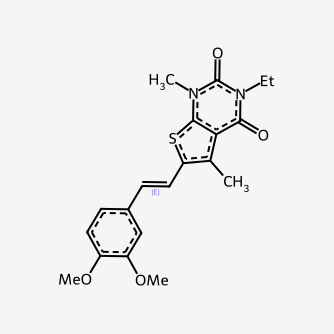 CCn1c(=O)c2c(C)c(/C=C/c3ccc(OC)c(OC)c3)sc2n(C)c1=O